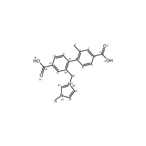 Cc1cc(C(=O)O)ccc1-c1ccc(C(=O)O)cc1C[n+]1ccn(C)c1